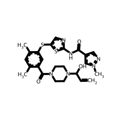 C=CC(O)N1CCN(C(=O)c2cc(Sc3cnc(NC(=O)c4cnn(C)c4)s3)c(C)cc2C)CC1